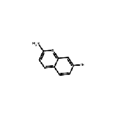 [2H]c1ccc2ccc(N)nc2c1